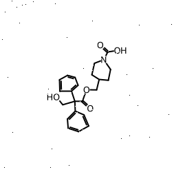 O=C(O)N1CCC(COC(=O)C(CO)(c2ccccc2)c2ccccc2)CC1